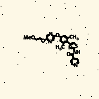 COCCOc1cnc(Oc2cc(C)c(-c3csc(NC(=O)c4ccncc4)n3)c(C)c2)cn1